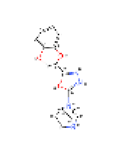 c1ccc2c(c1)OCC(c1nnc(N3CCN4CCC3CC4)o1)O2